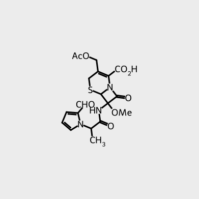 COC1(NC(=O)C(C)n2cccc2C=O)C(=O)N2C(C(=O)O)=C(COC(C)=O)CSC21